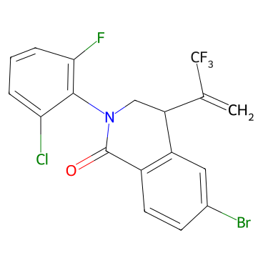 C=C(C1CN(c2c(F)cccc2Cl)C(=O)c2ccc(Br)cc21)C(F)(F)F